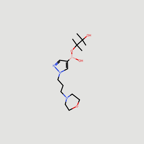 CC(C)(O)C(C)(C)OB(O)c1cnn(CCCN2CCOCC2)c1